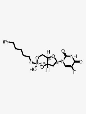 CC(C)CCCCCO[PH]1(O)OC[C@H]2O[C@@H](n3cc(F)c(=O)[nH]c3=O)C[C@@H]2O1